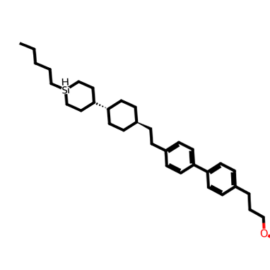 CCCCC[SiH]1CCC([C@H]2CC[C@H](CCc3ccc(-c4ccc(CCCOC)cc4)cc3)CC2)CC1